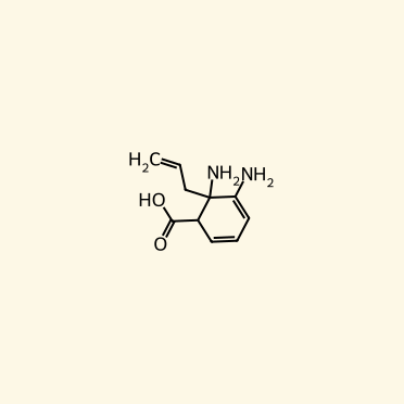 C=CCC1(N)C(N)=CC=CC1C(=O)O